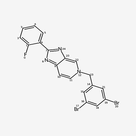 Fc1ccccc1-c1nc2ccn(Cc3cc(Br)cc(Br)c3)cc-2n1